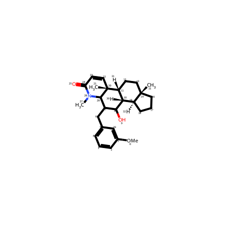 COc1cccc(CC2C(O)[C@@H]3[C@@H](CC[C@]4(C)CCC[C@@H]34)[C@@]3(C)C=CC(=O)N(C)C23)c1